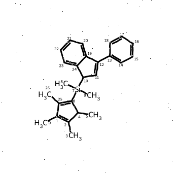 CC1=C(C)C(C)C([Si](C)(C)C2C=C(c3ccccc3)c3ccccc32)=C1C